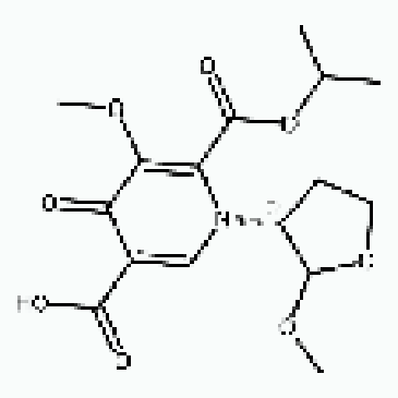 COc1c(C(=O)OC(C)C)n([C@@H]2CCOC2OC)cc(C(=O)O)c1=O